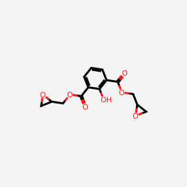 O=C(OCC1CO1)c1cccc(C(=O)OCC2CO2)c1O